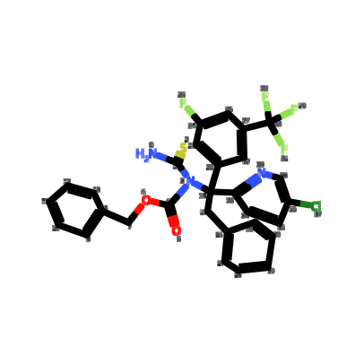 NC(=S)N(C(=O)OCc1ccccc1)C(Cc1ccccc1)(c1cc(F)cc(C(F)(F)F)c1)c1ccc(Cl)cn1